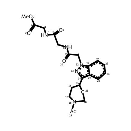 COC(=O)CNC(=O)CNC(=O)Cn1nc(C2CCN(C(C)=O)CC2)c2ccccc21